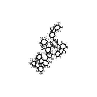 c1cc(-c2ccc3oc4cccc(-c5nc(-c6ccc7oc8ccccc8c7c6)nc(-c6cccc7sc8ccccc8c67)n5)c4c3c2)cc(-c2cccc3c2-c2ccccc2C32c3ccccc3-c3ccccc32)c1